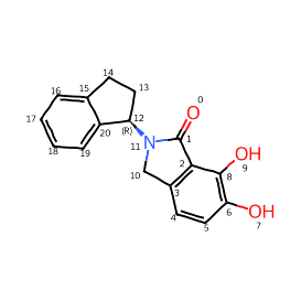 O=C1c2c(ccc(O)c2O)CN1[C@@H]1CCc2ccccc21